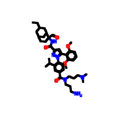 CCC1CC2CCC(C=O)(NC(=O)c3cc(-c4c(OC)cccc4OC)n(-c4ccc(C(=O)N(CCCN)CCCN(C)C)cc4C(C)C)n3)C(C1)C2